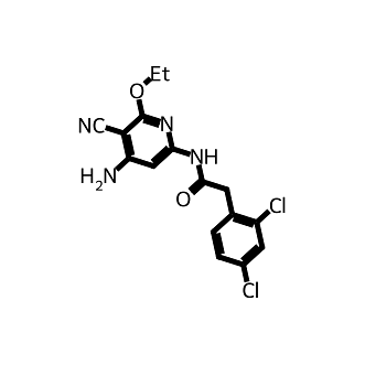 CCOc1nc(NC(=O)Cc2ccc(Cl)cc2Cl)cc(N)c1C#N